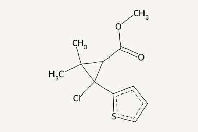 COC(=O)C1C(C)(C)C1(Cl)c1cccs1